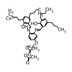 CC(=O)[O-].CC(=O)[O-].CCCCc1cc(C=Nc2ccc(OC)cc2N=Cc2cc(CCCC)cc(CCCC)c2O)c(O)c(CCCC)c1.[Co+2]